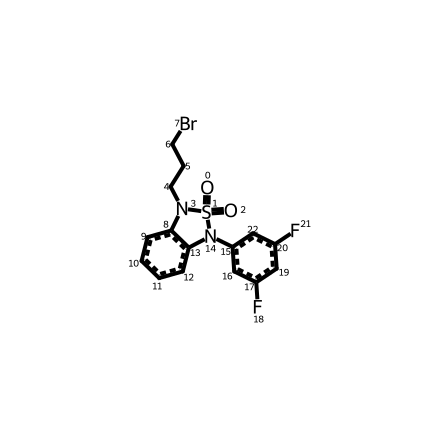 O=S1(=O)N(CCCBr)c2ccccc2N1c1cc(F)cc(F)c1